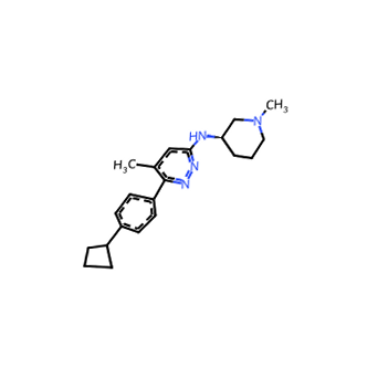 Cc1cc(N[C@@H]2CCCN(C)C2)nnc1-c1ccc(C2CCC2)cc1